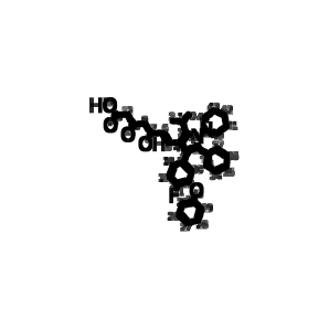 CC(C)c1c(C=CC(O)CC(=O)CC(=O)O)c(-c2ccc(F)c(Oc3ccccc3)c2)c(-c2ccccc2)n1N1CCCCC1